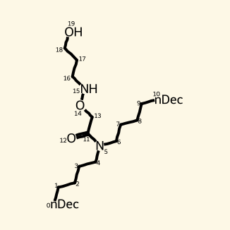 CCCCCCCCCCCCCCN(CCCCCCCCCCCCCC)C(=O)CONCCCO